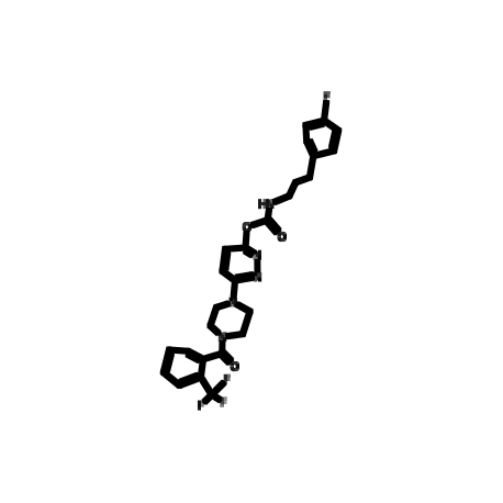 O=C(NCCCc1ccc(F)cc1)Oc1ccc(N2CCN(C(=O)c3ccccc3C(F)(F)F)CC2)nn1